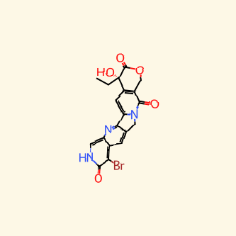 CC[C@@]1(O)C(=O)OCc2c1cc1n(c2=O)Cc2cc3c(Br)c(=O)[nH]cc3nc2-1